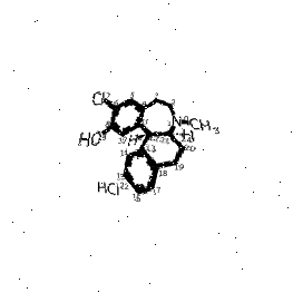 CN1CCc2cc(Cl)c(O)cc2[C@H]2c3ccccc3CC[C@@H]21.Cl